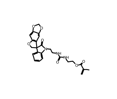 C=C(C)C(=O)OCCNC(=O)NCCN1C(=O)C2(COc3cc4c(cc32)OCO4)c2ccccc21